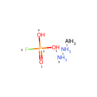 N.N.O=P(O)(O)F.[AlH3]